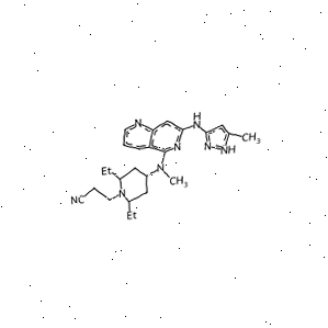 CCC1CC(N(C)c2nc(Nc3cc(C)[nH]n3)cc3ncccc23)CC(CC)N1CCC#N